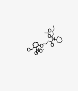 CCCCC(OC(C)=O)N(C(=O)CCCOc1cccc(C=O)c1[N+](=O)[O-])C1CCCCC1